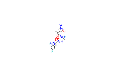 CCC(=O)[C@H](C[C@@H]1CCCNC1=O)NC(=O)[C@H](CC(C)(C)F)NC(=O)c1cc2cc(F)cc(F)c2[nH]1